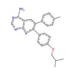 Cc1ccc(-c2cc3c(N)ncnc3nc2-c2ccc(OCC(C)C)cc2)cc1